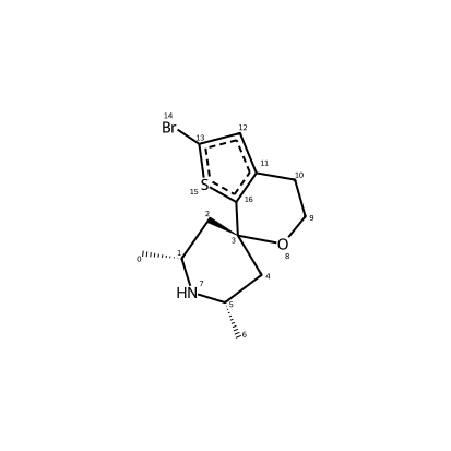 C[C@@H]1C[C@]2(C[C@H](C)N1)OCCc1cc(Br)sc12